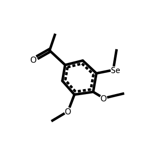 COc1cc(C(C)=O)cc([Se]C)c1OC